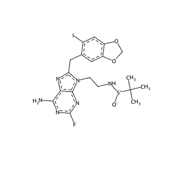 CC(C)(C)[S+]([O-])NCCn1c(Cc2cc3c(cc2I)OCO3)nc2c(N)nc(F)nc21